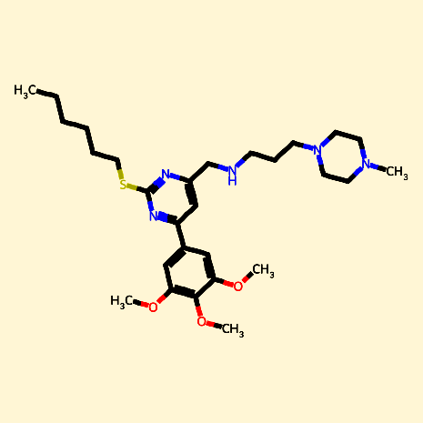 CCCCCCSc1nc(CNCCCN2CCN(C)CC2)cc(-c2cc(OC)c(OC)c(OC)c2)n1